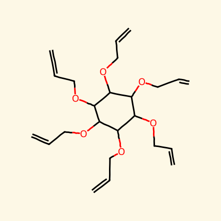 C=CCOC1C(OCC=C)C(OCC=C)C(OCC=C)C(OCC=C)C1OCC=C